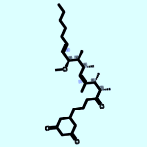 CCCCC/C=C/[C@H](OC)[C@@H](C)[C@H](C)/C=C(/C)[C@H](C)[C@H](C)C(=O)CCCC1CC(=O)CC(=O)C1